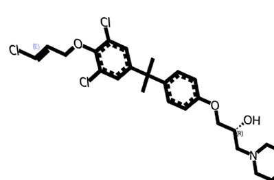 CC(C)(c1ccc(OC[C@H](O)CN2CCOCC2)cc1)c1cc(Cl)c(OC/C=C/Cl)c(Cl)c1